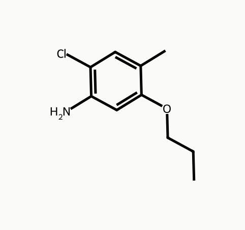 CCCOc1cc(N)c(Cl)cc1C